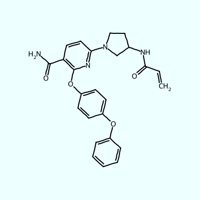 C=CC(=O)NC1CCN(c2ccc(C(N)=O)c(Oc3ccc(Oc4ccccc4)cc3)n2)C1